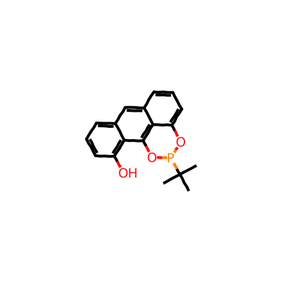 CC(C)(C)P1Oc2cccc3cc4cccc(O)c4c(c23)O1